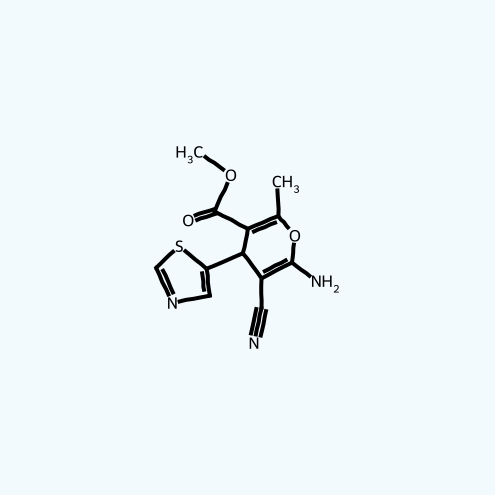 COC(=O)C1=C(C)OC(N)=C(C#N)C1c1cncs1